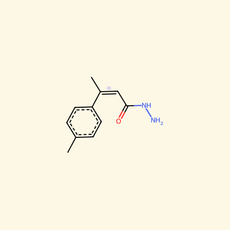 C/C(=C/C(=O)NN)c1ccc(C)cc1